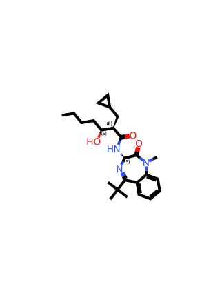 CCCC[C@H](O)[C@@H](CC1CC1)C(=O)N[C@H]1N=C(C(C)(C)C)c2ccccc2N(C)C1=O